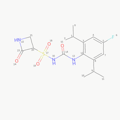 CC(C)c1cc(F)cc(C(C)C)c1NC(=O)NS(=O)(=O)C1CNC1=O